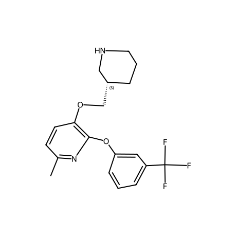 Cc1ccc(OC[C@H]2CCCNC2)c(Oc2cccc(C(F)(F)F)c2)n1